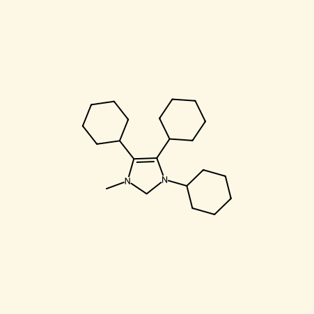 CN1CN(C2CCCCC2)C(C2CCCCC2)=C1C1CCCCC1